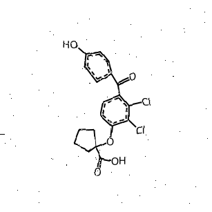 O=C(c1ccc(O)cc1)c1ccc(OC2(C(=O)O)CCCC2)c(Cl)c1Cl